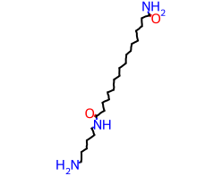 NCCCCCCNC(=O)CCCCCCCCCCCCCCCCC(N)=O